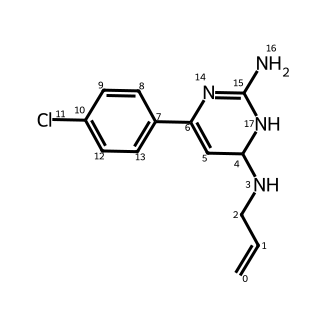 C=CCNC1C=C(c2ccc(Cl)cc2)N=C(N)N1